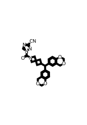 N#Cc1ncn(C(=O)N2CC3(CC(C(c4ccc5c(c4)COCO5)c4ccc5c(c4)COCO5)C3)C2)n1